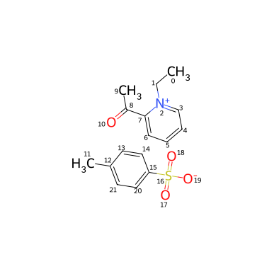 CC[n+]1ccccc1C(C)=O.Cc1ccc(S(=O)(=O)[O-])cc1